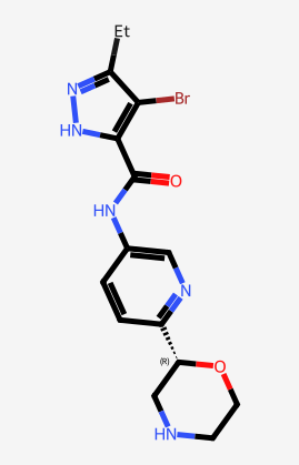 CCc1n[nH]c(C(=O)Nc2ccc([C@H]3CNCCO3)nc2)c1Br